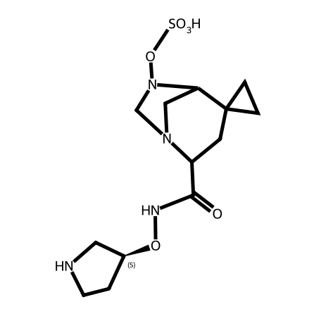 O=C(NO[C@H]1CCNC1)C1CC2(CC2)C2CN1CN2OS(=O)(=O)O